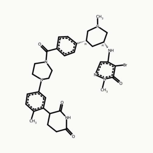 Cc1ccc(N2CCN(C(=O)c3ccc([C@H]4C[C@@H](Nc5cnn(C)c(=O)c5Br)CN(C)C4)cc3)CC2)cc1C1CCC(=O)NC1=O